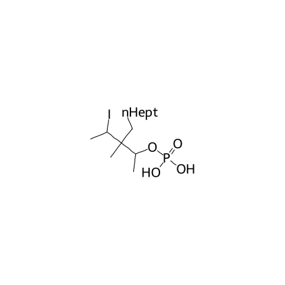 CCCCCCCCC(C)(C(C)I)C(C)OP(=O)(O)O